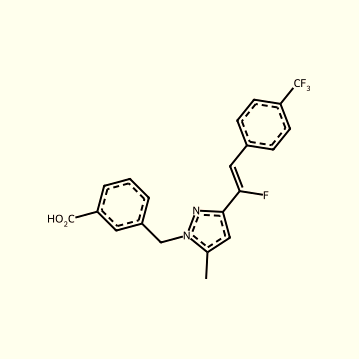 Cc1cc(/C(F)=C/c2ccc(C(F)(F)F)cc2)nn1Cc1cccc(C(=O)O)c1